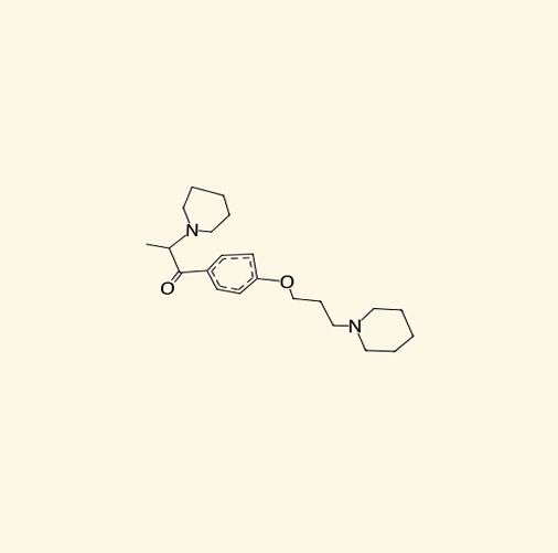 CC(C(=O)c1ccc(OCCCN2CCCCC2)cc1)N1CCCCC1